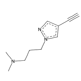 C#Cc1cnn(CCCN(C)C)c1